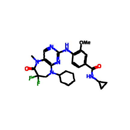 COc1cc(C(=O)NC2CC2)ccc1Nc1ncc2c(n1)N(C1CCCCC1)CC(F)(F)C(=O)N2C